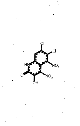 O=c1[nH]c2cc(Cl)c(Cl)c([N+](=O)[O-])c2c([N+](=O)[O-])c1O